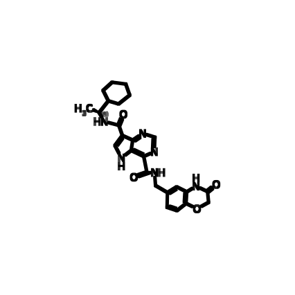 C[C@H](NC(=O)c1c[nH]c2c(C(=O)NCc3ccc4c(c3)NC(=O)CO4)ncnc12)C1CCCCC1